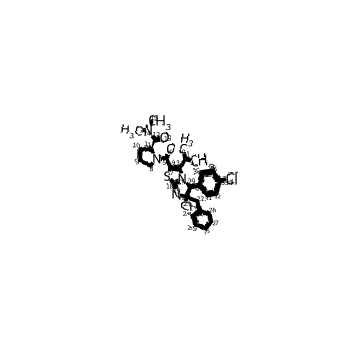 CC(C)C1=C(C(=O)N2CCC[C@H]2C(=O)N(C)C)SC2=NC(C)(Cc3ccccc3)C(c3ccc(Cl)cc3)N21